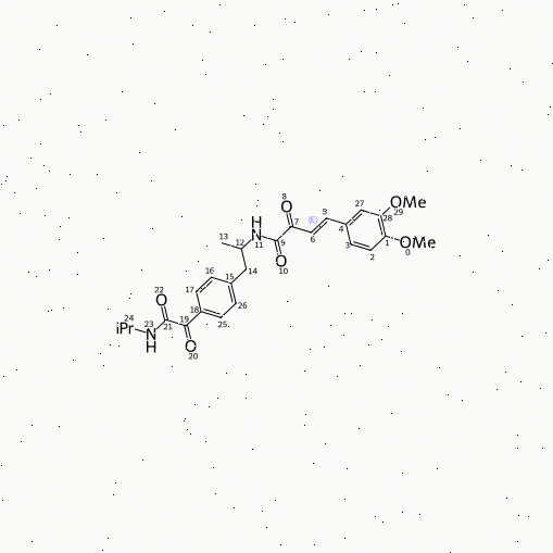 COc1ccc(/C=C/C(=O)C(=O)NC(C)Cc2ccc(C(=O)C(=O)NC(C)C)cc2)cc1OC